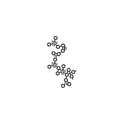 Cc1ccc(C2(c3ccc(C)cc3)c3ccccc3-c3c(-c4nc(-c5ccccc5)nc(-c5ccccc5-c5cccc(-c6nc(-c7ccccc7)nc(-c7ccc(-n8c9ccccc9c9cc(-c%10ccc%11oc%12cccc(-c%13cccc(-c%14nc(-c%15ccccc%15)nc(-c%15ccccc%15)n%14)c%13)c%12c%11c%10)ccc98)cc7)n6)c5)n4)cc(-c4ccc5c(c4)c4ccccc4n5-c4ccccc4)cc32)cc1